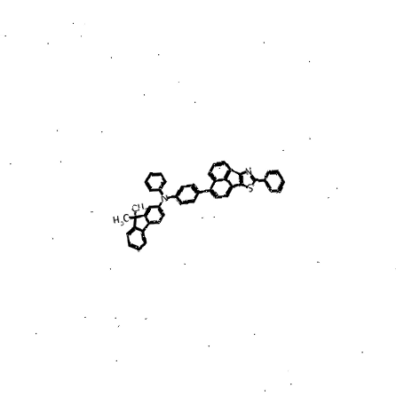 CC1(C)c2ccccc2-c2ccc(N(c3ccccc3)c3ccc(-c4ccc5c6c(cccc46)-c4nc(-c6ccccc6)sc4-5)cc3)cc21